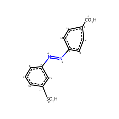 O=C(O)c1ccc(/N=N/c2cccc(S(=O)(=O)O)c2)cc1